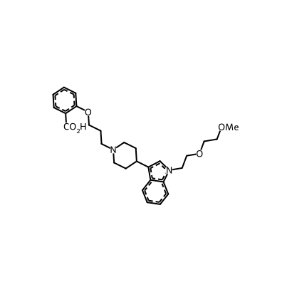 COCCOCCn1cc(C2CCN(CCCOc3ccccc3C(=O)O)CC2)c2ccccc21